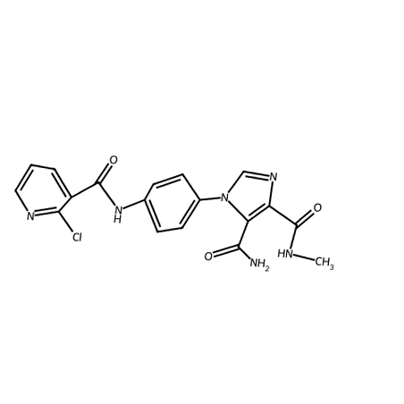 CNC(=O)c1ncn(-c2ccc(NC(=O)c3cccnc3Cl)cc2)c1C(N)=O